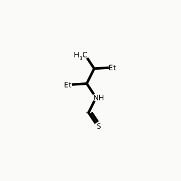 CCC(C)C(CC)N[C]=S